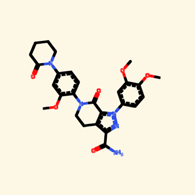 COc1ccc(-n2nc(C(N)=O)c3c2C(=O)N(c2ccc(N4CCCCC4=O)cc2OC)CC3)cc1OC